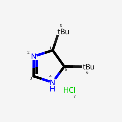 CC(C)(C)C1N=CNC1C(C)(C)C.Cl